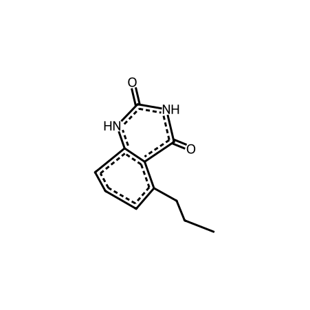 CCCc1cccc2[nH]c(=O)[nH]c(=O)c12